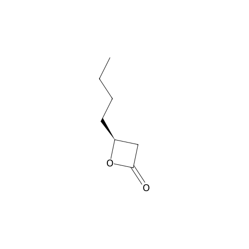 CCCC[C@H]1CC(=O)O1